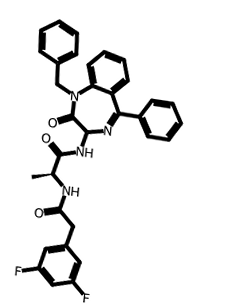 C[C@H](NC(=O)Cc1cc(F)cc(F)c1)C(=O)NC1N=C(c2ccccc2)c2ccccc2N(Cc2ccccc2)C1=O